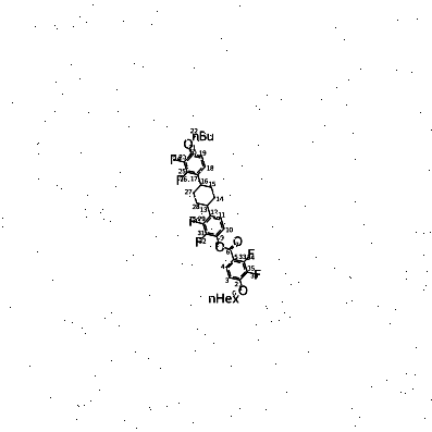 CCCCCCOc1ccc(C(=O)Oc2ccc(C3CCC(c4ccc(OCCCC)c(F)c4F)CC3)c(F)c2F)c(F)c1F